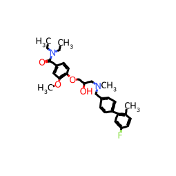 CCN(CC)C(=O)c1ccc(OCC(O)CN(C)Cc2ccc(-c3cc(F)ccc3C)cc2)c(OC)c1